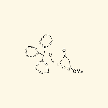 CO[C@@H]1CC(=O)[C@@H](COC(c2ccccc2)(c2ccccc2)c2ccccc2)O1